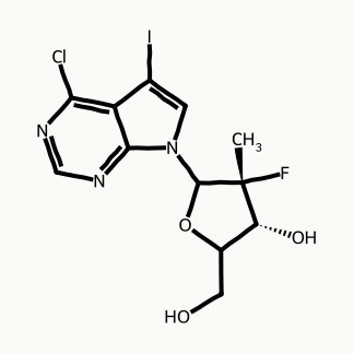 C[C@]1(F)C(n2cc(I)c3c(Cl)ncnc32)OC(CO)[C@H]1O